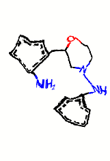 Nc1ccccc1C1CN(Nc2ccccc2)CCO1